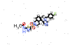 CC(=O)Nc1ncc(S(=O)(=O)N2CCc3c(cccc3-c3cncn3C(C)c3ccc(F)cc3)C2)s1